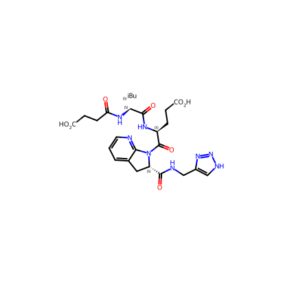 CC[C@H](C)[C@H](NC(=O)CCC(=O)O)C(=O)N[C@@H](CCC(=O)O)C(=O)N1c2ncccc2C[C@H]1C(=O)NCc1c[nH]nn1